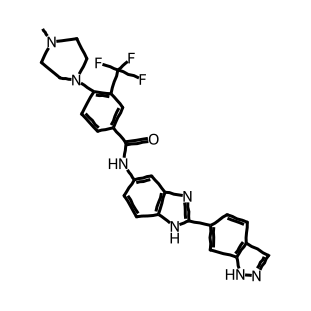 CN1CCN(c2ccc(C(=O)Nc3ccc4[nH]c(-c5ccc6cn[nH]c6c5)nc4c3)cc2C(F)(F)F)CC1